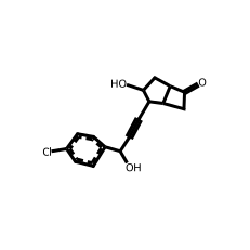 O=C1CC2C1CC(O)C2C#CC(O)c1ccc(Cl)cc1